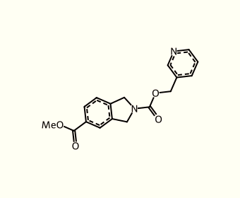 COC(=O)c1ccc2c(c1)CN(C(=O)OCc1cccnc1)C2